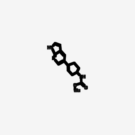 CC(C)(C)OC(=O)NC1CC=C(c2cnc3[nH]ccc3c2)CC1